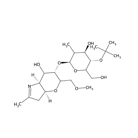 COCC1O[C@H]2CC(C)=N[C@H]2C(O)[C@@H]1O[C@@H]1OC(CO)[C@@H](OC(C)(C)C)[C@H](O)C1C